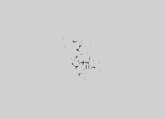 CC[C@@H](NC(C)=O)C(C)(C)SP(=O)(N[C@@H](C)C(=O)OC(C)C)SC(C)(C)[C@@H](C)NC(C)=O